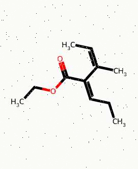 C/C=C(C)\C(=C/CC)C(=O)OCC